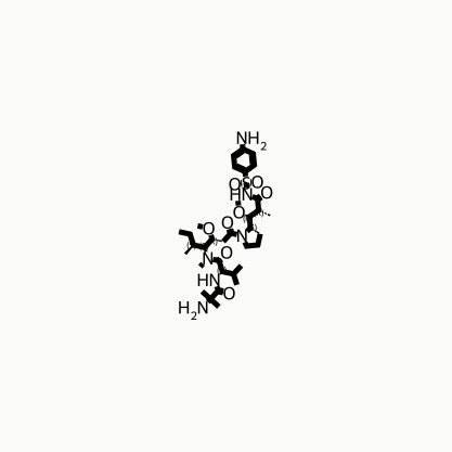 CC[C@H](C)[C@@H]([C@@H](CC(=O)N1CCC[C@H]1[C@H](OC)[C@@H](C)C(=O)NS(=O)(=O)c1ccc(N)cc1)OC)N(C)C(=O)[C@@H](NC(=O)C(C)(C)N)C(C)C